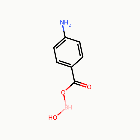 Nc1ccc(C(=O)OBO)cc1